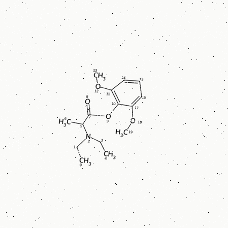 CCN(CC)C(C)C(=O)Oc1c(OC)cccc1OC